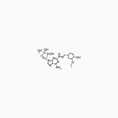 CCOc1cc(C=NNc2nc(N)c3ncn([C@@H]4O[C@H](CO)[C@@H](O)[C@H]4O)c3n2)ccc1O